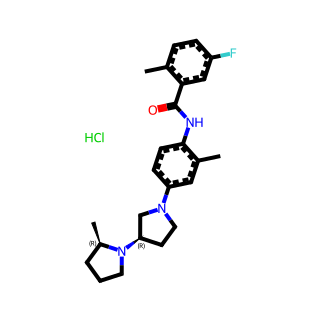 Cc1cc(N2CC[C@@H](N3CCC[C@H]3C)C2)ccc1NC(=O)c1cc(F)ccc1C.Cl